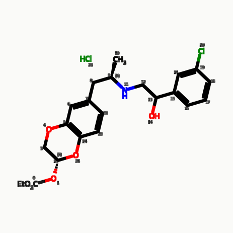 CCOC(=O)O[C@@H]1COc2cc(C[C@@H](C)NCC(O)c3cccc(Cl)c3)ccc2O1.Cl